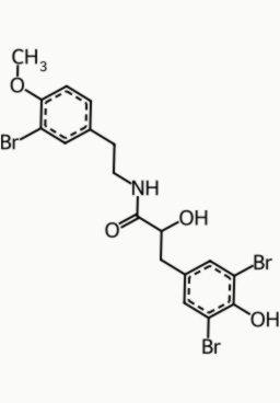 COc1ccc(CCNC(=O)C(O)Cc2cc(Br)c(O)c(Br)c2)cc1Br